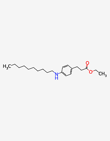 CCCCCCCCCCNc1ccc(CCC(=O)OCC)cc1